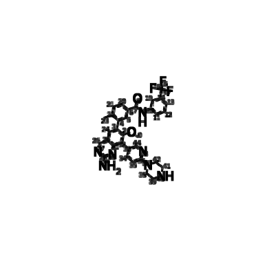 COc1c(-c2cc(C(=O)Nc3cccc(C(F)(F)F)c3)ccc2C)cc2cnc(N)nc2c1-c1ccc(N2CCNCC2)nc1